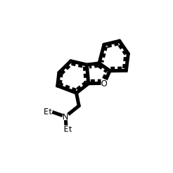 CCN(CC)Cc1cccc2c1oc1ccccc12